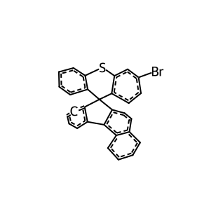 Brc1ccc2c(c1)Sc1ccccc1C21c2ccccc2-c2c1ccc1ccccc21